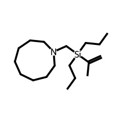 C=C(C)[Si](CCC)(CCC)CN1CCCCCCCC1